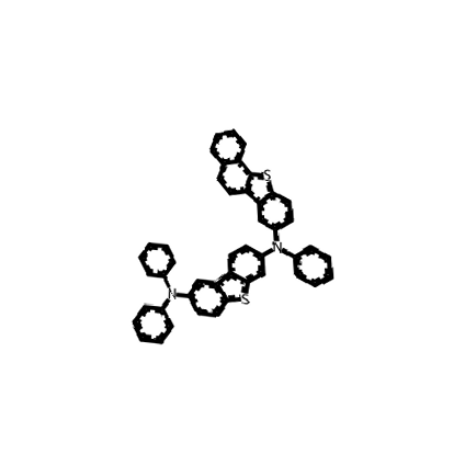 c1ccc(N(c2ccccc2)c2ccc3sc4cc(N(c5ccccc5)c5ccc6sc7c8ccccc8ccc7c6c5)ccc4c3c2)cc1